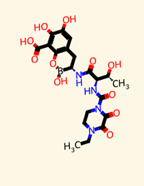 CCN1CCN(C(=O)N[C@@H](C(=O)N[C@H]2Cc3cc(O)c(O)c(C(=O)O)c3OB2O)[C@@H](C)O)C(=O)C1=O